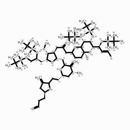 C=C1C[C@H](CCC=O)OC1CC[C@H]1C[C@@H](C)C(=C)C(C[C@@H]2O[C@H](C[C@@H](CO[Si](C)(C)C(C)(C)C)O[Si](C)(C)C(C)(C)C)[C@H](OC)[C@H]2CC(=O)CC2CC[C@@H]3O[C@@H]([C@H](/C=C/I)O[Si](C)(C)C(C)(C)C)[C@@H](O[Si](C)(C)C(C)(C)C)[C@@H](O[Si](C)(C)C(C)(C)C)C3O2)O1